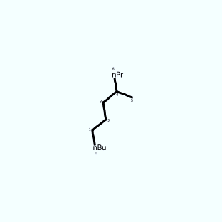 [CH2]CCCCCCC(C)CCC